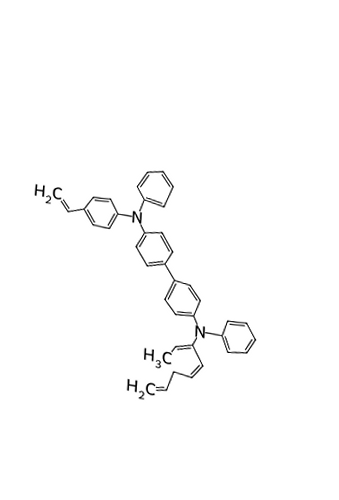 C=CC/C=C\C(=C/C)N(c1ccccc1)c1ccc(-c2ccc(N(c3ccccc3)c3ccc(C=C)cc3)cc2)cc1